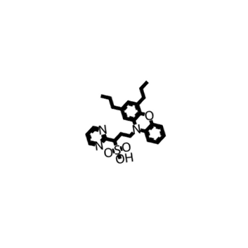 CCCc1cc(CCC)c2c(c1)N(CCC(c1ncccn1)S(=O)(=O)O)c1ccccc1O2